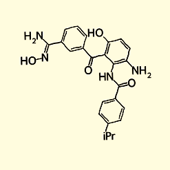 CC(C)c1ccc(C(=O)Nc2c(N)ccc(O)c2C(=O)c2cccc(C(N)=NO)c2)cc1